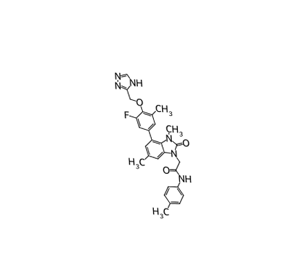 Cc1ccc(NC(=O)Cn2c(=O)n(C)c3c(-c4cc(C)c(OCc5nnc[nH]5)c(F)c4)cc(C)cc32)cc1